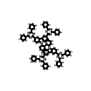 N#Cc1ccc(-n2c3ccc(-c4nc(-c5ccccc5)nc(-c5ccccc5)n4)cc3c3cc(-c4nc(-c5ccccc5)nc(-c5ccccc5)n4)ccc32)c(-c2ncccc2-n2c3ccc(-c4nc(-c5ccccc5)nc(-c5ccccc5)n4)cc3c3cc(-c4nc(-c5ccccc5)nc(-c5ccccc5)n4)ccc32)c1